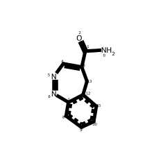 NC(=O)C1=CN=Nc2ccccc2C1